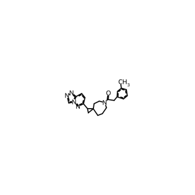 Cc1cccc(CC(=O)N2CCCC3(CC2)CC3c2ccc3nncn3n2)c1